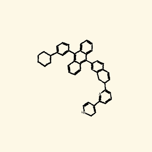 C1=CC(c2cccc(C3C=Cc4ccc(-c5c6ccccc6c(-c6cccc(C7CCCCC7)c6)c6ccccc56)cc4C3)n2)=CCN1